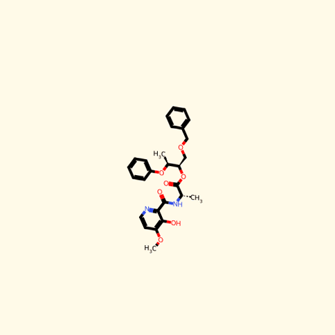 COc1ccnc(C(=O)N[C@@H](C)C(=O)O[C@H](COCc2ccccc2)[C@H](C)Oc2ccccc2)c1O